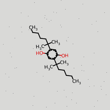 CCCCCC(C)(C)c1cc(O)c(C(C)(C)CCCCC)cc1O